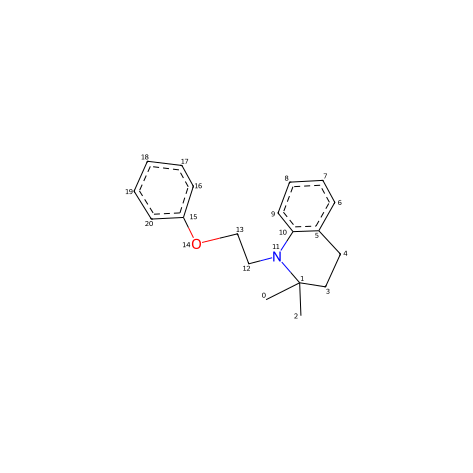 CC1(C)CCc2ccccc2N1CCOc1ccccc1